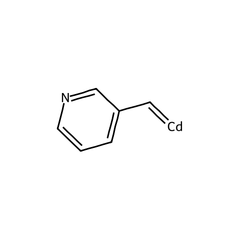 [Cd]=[CH]c1cccnc1